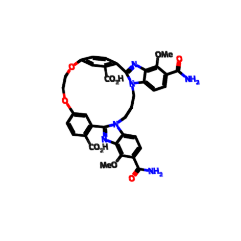 COc1c(C(N)=O)ccc2c1nc1n2CCCn2c(nc3c(OC)c(C(N)=O)ccc32)-c2cc(ccc2C(=O)O)OCCOc2ccc-1c(C(=O)O)c2